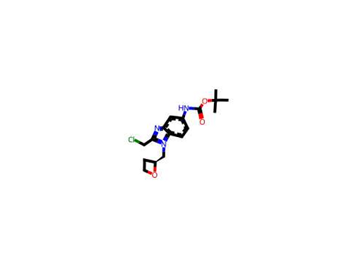 CC(C)(C)OC(=O)Nc1ccc2c(c1)nc(CCl)n2C[C@@H]1CCO1